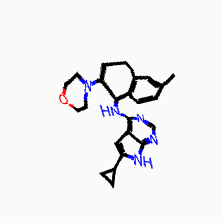 Cc1ccc2c(c1)CCC(N1CCOCC1)C2Nc1ncnc2[nH]c(C3CC3)cc12